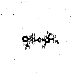 CCOC(=O)c1cc(C#N)c(N2CC(C(=O)NS(=O)(=O)c3ccccc3OC(F)(F)F)C2)nc1C(F)F